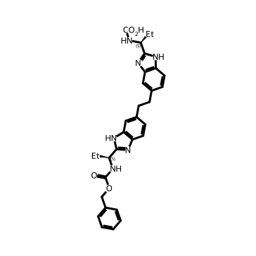 CC[C@H](NC(=O)O)c1nc2cc(CCc3ccc4nc([C@H](CC)NC(=O)OCc5ccccc5)[nH]c4c3)ccc2[nH]1